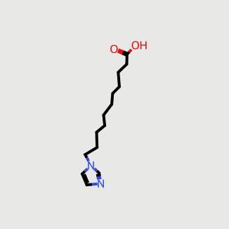 O=C(O)CCCCCCCCCCn1ccnc1